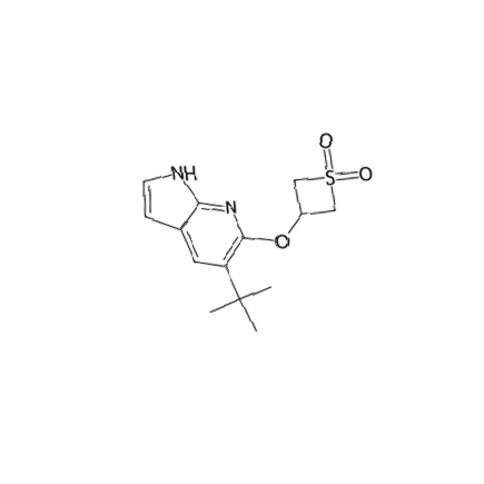 CC(C)(C)c1cc2cc[nH]c2nc1OC1CS(=O)(=O)C1